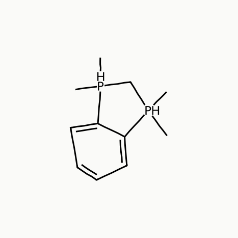 C[PH]1(C)C[PH](C)(C)c2ccccc21